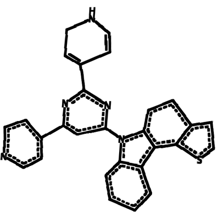 C1=CC(c2nc(-c3ccncc3)cc(-n3c4ccccc4c4c5sccc5ccc43)n2)=CCN1